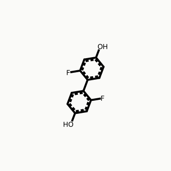 Oc1ccc(-c2ccc(O)cc2F)c(F)c1